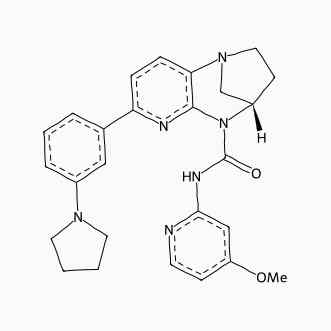 COc1ccnc(NC(=O)N2c3nc(-c4cccc(N5CCCC5)c4)ccc3N3CC[C@H]2C3)c1